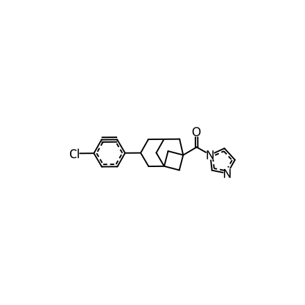 O=C(n1ccnc1)C12CC3CC(c4c#cc(Cl)cc4)CC(C3)(C1)C2